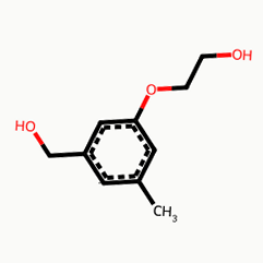 Cc1[c]c(CO)cc(OCCO)c1